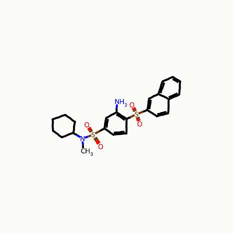 CN(C1CCCCC1)S(=O)(=O)c1ccc(S(=O)(=O)c2ccc3ccccc3c2)c(N)c1